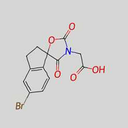 O=C(O)CN1C(=O)OC2(CCc3cc(Br)ccc32)C1=O